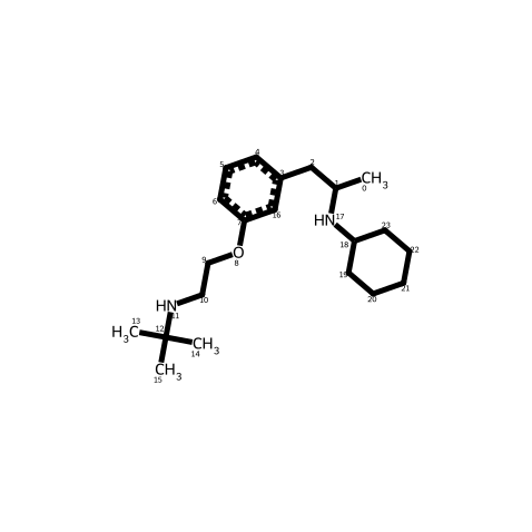 CC(Cc1cccc(OCCNC(C)(C)C)c1)NC1CCCCC1